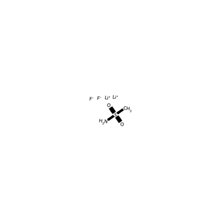 CS(N)(=O)=O.[F-].[F-].[Li+].[Li+]